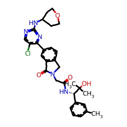 Cc1cccc([C@H](NC(=O)CN2Cc3ccc(-c4nc(NC5CCOCC5)ncc4Cl)cc3C2=O)C(C)(C)O)c1